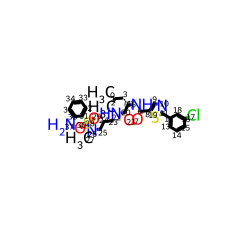 CC(C)C[C@H](NC(=O)c1cnc(-c2cccc(Cl)c2)s1)C(=O)NCCCN(C)S(=O)(=O)c1ccccc1N